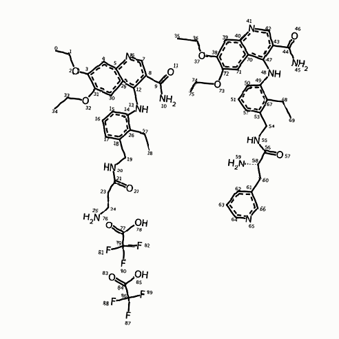 CCOc1cc2ncc(C(N)=O)c(Nc3cccc(CNC(=O)CCN)c3CC)c2cc1OCC.CCOc1cc2ncc(C(N)=O)c(Nc3cccc(CNC(=O)[C@@H](N)Cc4cccnc4)c3CC)c2cc1OCC.O=C(O)C(F)(F)F.O=C(O)C(F)(F)F